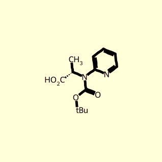 C[C@@H](C(=O)O)N(C(=O)OC(C)(C)C)c1ccccn1